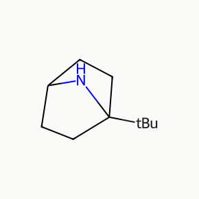 CC(C)(C)C12CCC(CC1)N2